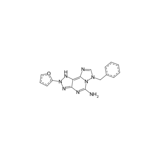 NC1=NC2=NN(c3ccco3)NC2=C2N=CN(Cc3ccccc3)N12